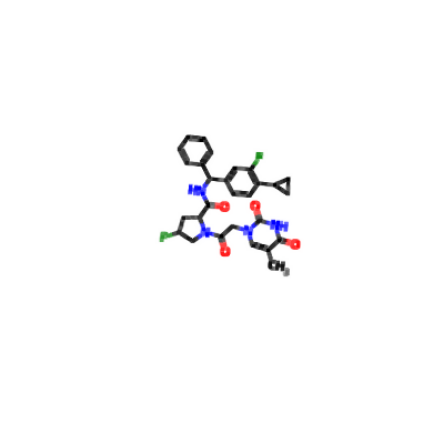 Cc1cn(CC(=O)N2CC(F)CC2C(=O)NC(c2ccccc2)c2ccc(C3CC3)c(F)c2)c(=O)[nH]c1=O